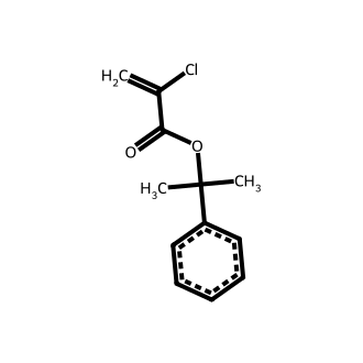 C=C(Cl)C(=O)OC(C)(C)c1ccccc1